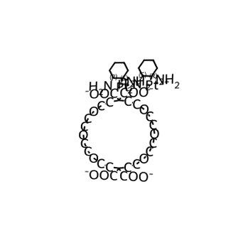 N[C@@H]1CCCC[C@]1(N)[Pt+2].N[C@H]1CCCC[C@@]1(N)[Pt+2].O=C([O-])C1(C(=O)[O-])CCOCCOCCOCCC(C(=O)[O-])(C(=O)[O-])CCOCCOCCOCC1